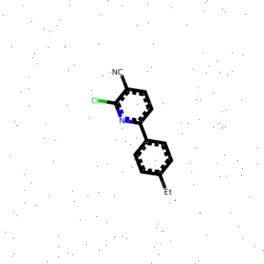 CCc1ccc(-c2ccc(C#N)c(Cl)n2)cc1